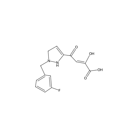 O=C(O)C(O)=CC(=O)C1=CCN(Cc2cccc(F)c2)N1